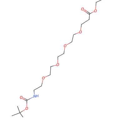 C=CCOC(=O)CCOCCOCCOCCOCCNC(=O)OC(C)(C)C